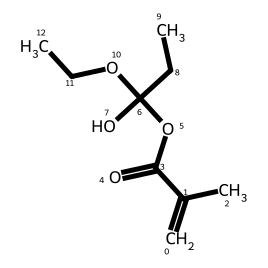 C=C(C)C(=O)OC(O)(CC)OCC